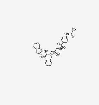 O=C(Nc1ccc(S(=O)(=O)NC[C@@H](O)C[C@@H](Cc2ccccc2)C(=O)N[C@H]2c3ccccc3C[C@H]2O)cc1)C1CC1